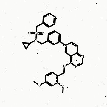 COc1ccc(CNc2ncnc3ccc(-c4cccc(CN(C5CC5)S(=O)(=O)Cc5ccccc5)c4)cc23)c(OC)c1